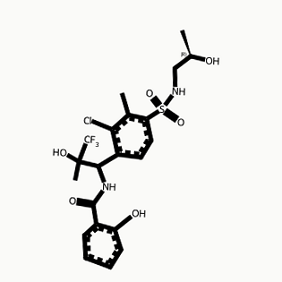 Cc1c(S(=O)(=O)NC[C@@H](C)O)ccc(C(NC(=O)c2ccccc2O)C(C)(O)C(F)(F)F)c1Cl